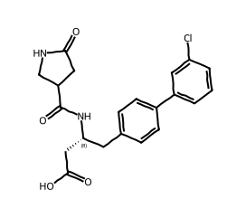 O=C(O)C[C@@H](Cc1ccc(-c2cccc(Cl)c2)cc1)NC(=O)C1CNC(=O)C1